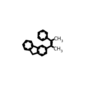 CC(=C(C)c1ccc2c(c1)-c1ccccc1C2)c1ccccc1